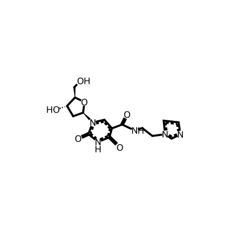 O=C(NCCn1ccnc1)c1cn([C@H]2C[C@H](O)[C@@H](CO)O2)c(=O)[nH]c1=O